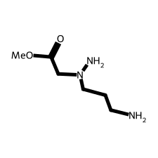 COC(=O)CN(N)CCCN